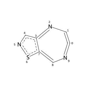 C1=CN=c2cnsc2=CN=1